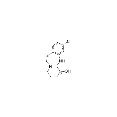 O[C@H]1C=CCN2CSc3ccc(Cl)cc3NC12